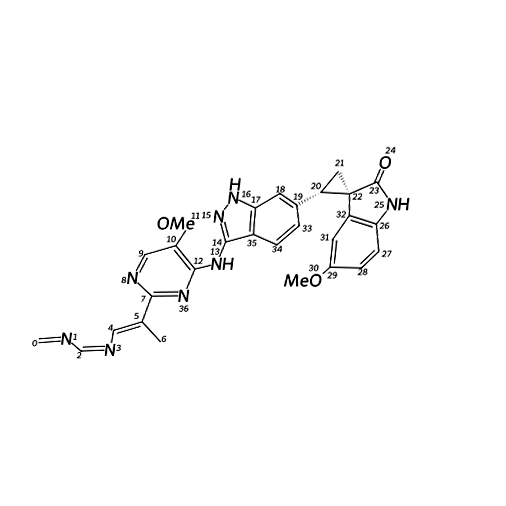 C=N/C=N\C=C(/C)c1ncc(OC)c(Nc2n[nH]c3cc([C@@H]4C[C@@]45C(=O)Nc4ccc(OC)cc45)ccc23)n1